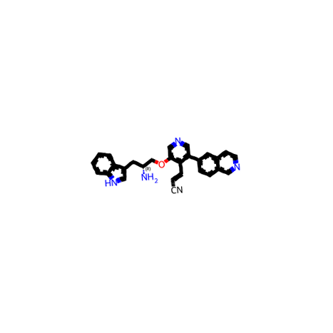 N#CC=Cc1c(OC[C@H](N)Cc2c[nH]c3ccccc23)cncc1-c1ccc2cnccc2c1